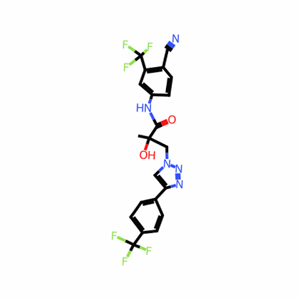 CC(O)(Cn1cc(-c2ccc(C(F)(F)F)cc2)nn1)C(=O)Nc1ccc(C#N)c(C(F)(F)F)c1